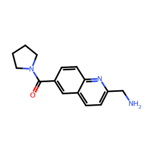 NCc1ccc2cc(C(=O)N3CCCC3)ccc2n1